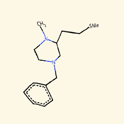 CSCCC1CN(Cc2ccccc2)CCN1C